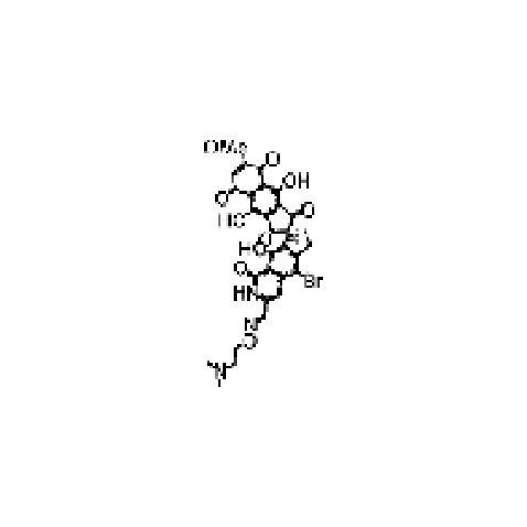 COC1=CC(=O)c2c(O)c3c(c(O)c2C1=O)C(=O)[C@]1(CCc2c1c(O)c1c(=O)[nH]c(C=NOCCN(C)C)cc1c2Br)C3=O